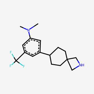 CN(C)c1cc(C2CCC3(CC2)CNC3)cc(C(F)(F)F)c1